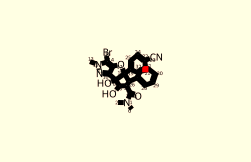 CN(C)C(=O)C1C(O)C2(O)c3nn(C)c(Br)c3OC2(c2ccc(C#N)cc2)C1c1ccccc1